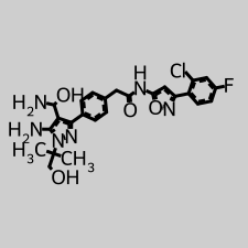 CC(C)(CO)n1nc(-c2ccc(CC(=O)Nc3cc(-c4ccc(F)cc4Cl)no3)cc2)c(C(N)O)c1N